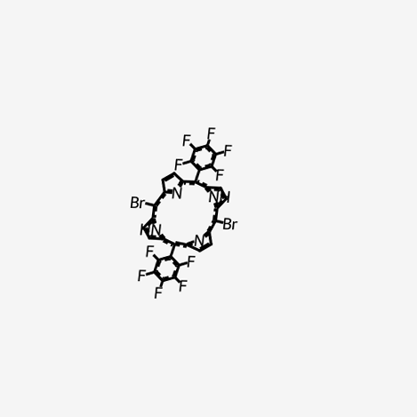 Fc1c(F)c(F)c(-c2c3nc(c(Br)c4ccc([nH]4)c(-c4c(F)c(F)c(F)c(F)c4F)c4nc(c(Br)c5ccc2[nH]5)C=C4)C=C3)c(F)c1F